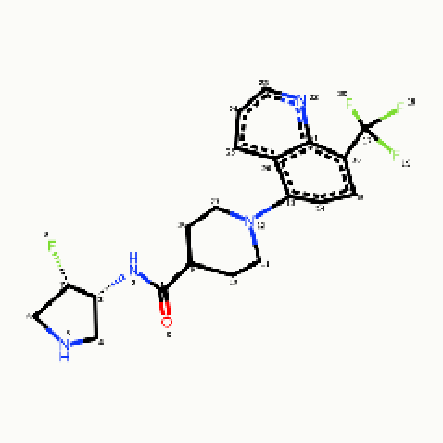 O=C(N[C@@H]1CNC[C@@H]1F)C1CCN(c2ccc(C(F)(F)F)c3ncccc23)CC1